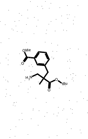 COC(=O)c1cccc(CC(C)(CN)C(=O)OC(C)(C)C)c1